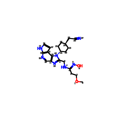 COCCC(=NO)NCc1nc2cnc3[nH]ccc3c2n1[C@H]1CC[C@H](CC#N)CC1